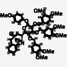 COc1ccc(OC2O[C@H](CCP(=O)(O)Cc3ccccc3C#N)[C@@H](OCc3ccc(OC)c(OC)c3)[C@H](OCc3ccc(OC)c(OC)c3)[C@@H]2OCc2ccc(OC)c(OC)c2)cc1